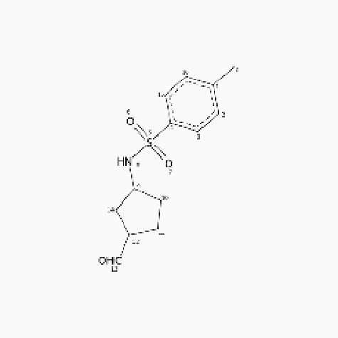 Cc1ccc(S(=O)(=O)NC2CCC(C=O)C2)cc1